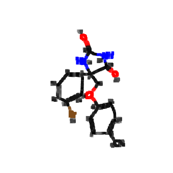 N#Cc1ccc(OCC2(c3cccc(Br)c3)NC(=O)NC2=O)cc1